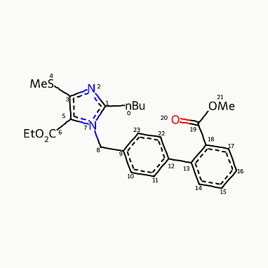 CCCCc1nc(SC)c(C(=O)OCC)n1Cc1ccc(-c2ccccc2C(=O)OC)cc1